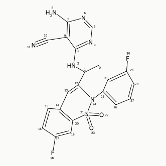 CC(Nc1ncnc(N)c1C#N)C1=Cc2ccc(F)cc2S(=O)(=O)N1c1cccc(F)c1